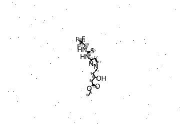 CCOC(=O)CC(O)CCn1ccc(NC(=S)NCC(F)(F)F)n1